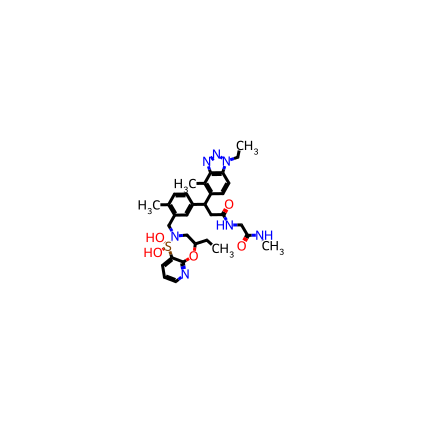 CCC1CN(Cc2cc(C(CC(=O)NCC(=O)NC)c3ccc4c(nnn4CC)c3C)ccc2C)S(O)(O)c2cccnc2O1